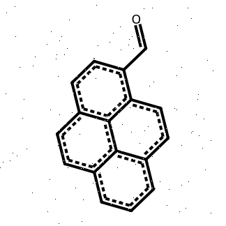 O=Cc1[c]cc2ccc3cccc4ccc1c2c34